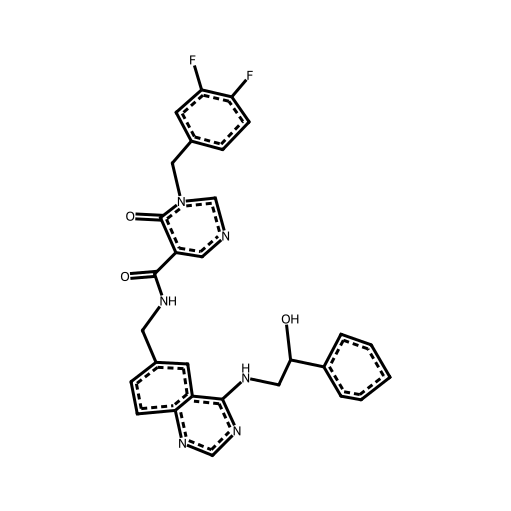 O=C(NCc1ccc2ncnc(NCC(O)c3ccccc3)c2c1)c1cncn(Cc2ccc(F)c(F)c2)c1=O